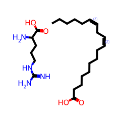 CCCCC/C=C\C/C=C\CCCCCCCC(=O)O.N=C(N)NCCCC(N)C(=O)O